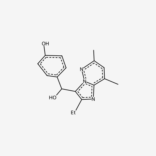 CCc1nc2c(C)cc(C)nn2c1C(O)c1ccc(O)cc1